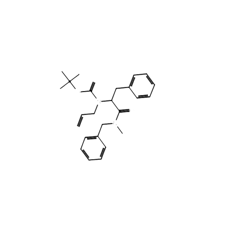 C=CCN(C(=O)OC(C)(C)C)C(Cc1ccccc1)C(=O)N(C)Cc1ccccc1